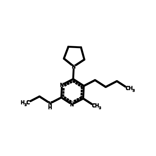 CCCCc1c(C)nc(NCC)nc1N1CCCC1